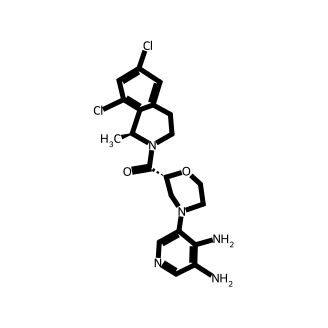 C[C@H]1c2c(Cl)cc(Cl)cc2CCN1C(=O)[C@H]1CN(c2cncc(N)c2N)CCO1